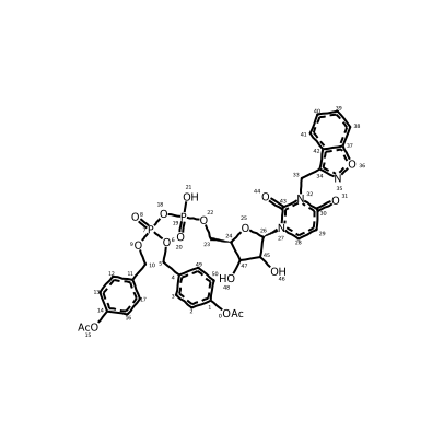 CC(=O)Oc1ccc(COP(=O)(OCc2ccc(OC(C)=O)cc2)OP(=O)(O)OC[C@H]2O[C@@H](n3ccc(=O)n(Cc4noc5ccccc45)c3=O)C(O)C2O)cc1